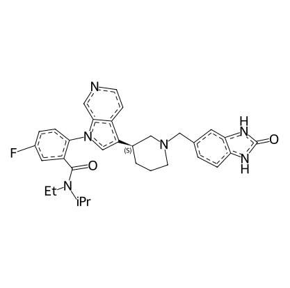 CCN(C(=O)c1cc(F)ccc1-n1cc([C@@H]2CCCN(Cc3ccc4[nH]c(=O)[nH]c4c3)C2)c2ccncc21)C(C)C